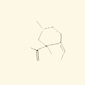 COC(=O)C1(C)CN(C)CCC1=CF